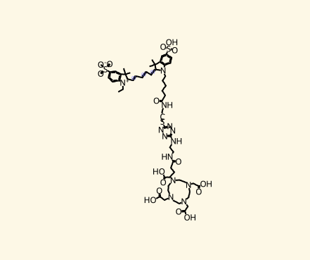 CC[N+]1=C(/C=C/C=C/C=C2/N(CCCCCC(=O)NCCSc3nnc(NCCNC(=O)CCC(C(=O)O)N4CCN(CC(=O)O)CCN(CC(=O)O)CCN(CC(=O)O)CC4)nn3)c3ccc(S(=O)(=O)O)cc3C2(C)C)C(C)(C)c2cc(S(=O)(=O)[O-])ccc21